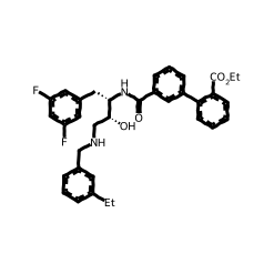 CCOC(=O)c1ccccc1-c1cccc(C(=O)N[C@@H](Cc2cc(F)cc(F)c2)[C@H](O)CNCc2cccc(CC)c2)c1